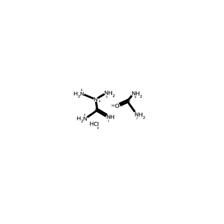 Cl.N=C(N)N(N)N.NC(N)=O